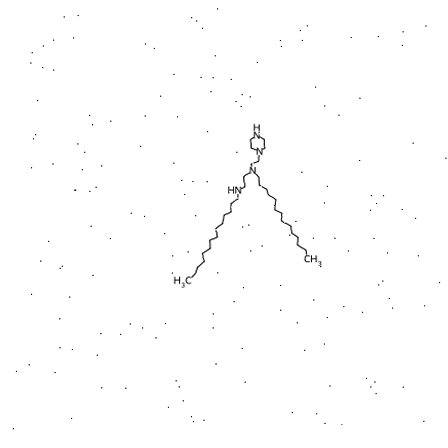 CCCCCCCCCCCCCCNCCN(CCCCCCCCCCCCCC)CCN1CCNCC1